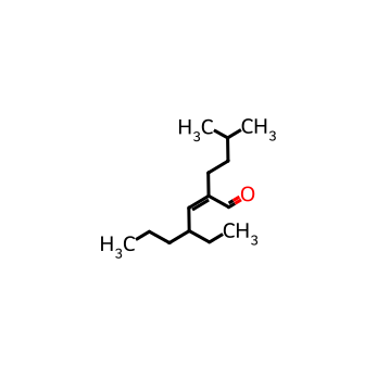 CCCC(C=C(C=O)CCC(C)C)CC